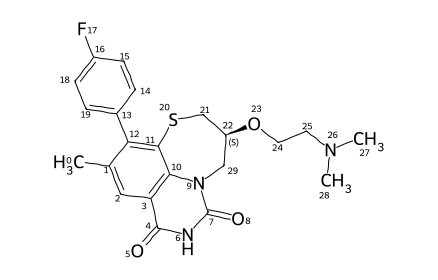 Cc1cc2c(=O)[nH]c(=O)n3c2c(c1-c1ccc(F)cc1)SC[C@@H](OCCN(C)C)C3